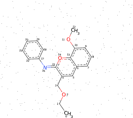 CCOCc1cc2cccc(OC)c2o/c1=N\c1ccccc1